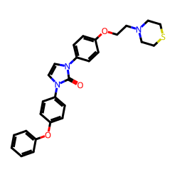 O=c1n(-c2ccc(OCCN3CCSCC3)cc2)ccn1-c1ccc(Oc2ccccc2)cc1